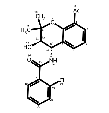 CC(=O)c1cccc2c1OC(C)(C)[C@H](O)[C@H]2NC(=O)c1ccccc1Cl